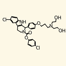 O=C(Oc1ccc(Cl)cc1)N1CCc2c([nH]c3ccc(Cl)cc23)C1c1ccc(OCCCN(CCO)CCO)cc1